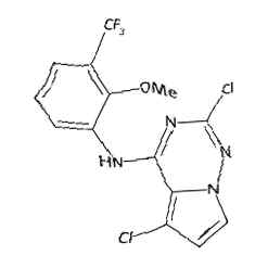 COc1c(Nc2nc(Cl)nn3ccc(Cl)c23)cccc1C(F)(F)F